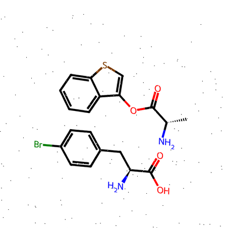 C[C@H](N)C(=O)Oc1csc2ccccc12.N[C@@H](Cc1ccc(Br)cc1)C(=O)O